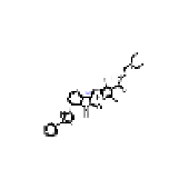 CCN(CC)CCNC(=O)c1c(C)[nH]c(/C=C2\C(=O)Nc3c2cccc3-c2csc(-c3ccccc3)n2)c1C